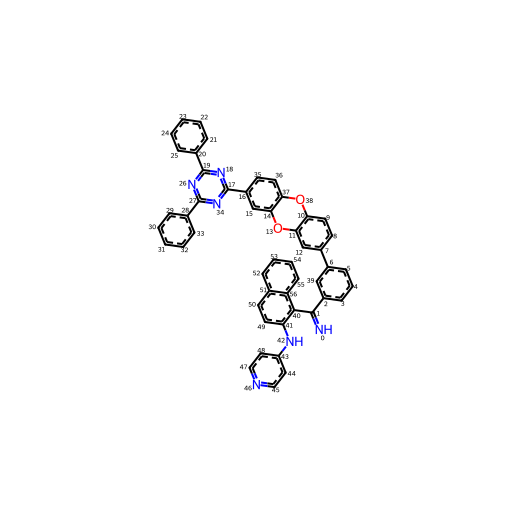 N=C(c1cccc(-c2ccc3c(c2)Oc2cc(-c4nc(-c5ccccc5)nc(-c5ccccc5)n4)ccc2O3)c1)c1c(Nc2ccncc2)ccc2ccccc12